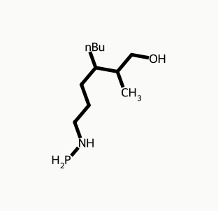 CCCCC(CCCNP)C(C)CO